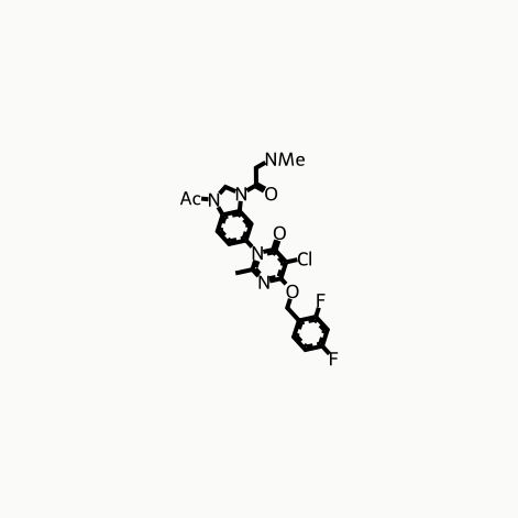 CNCC(=O)N1CN(C(C)=O)c2ccc(-n3c(C)nc(OCc4ccc(F)cc4F)c(Cl)c3=O)cc21